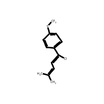 CC(C)=CC=C(Cl)c1ccc(SC(F)(F)F)cc1